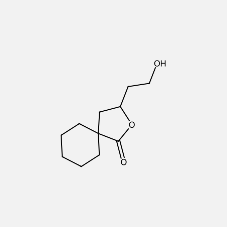 O=C1OC(CCO)CC12CCCCC2